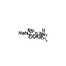 C/C=C(\C=C/CC)C(CNC)Oc1ccc(N2CCN(C)c3nc(NCC)ncc3C2=O)cc1